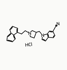 Cl.N#Cc1ccc2ccn(CC3CCN(CCc4cccc5ccccc45)C3)c2c1